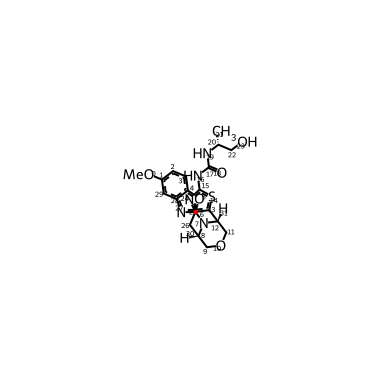 COc1ccc2oc(N3[C@@H]4COC[C@H]3c3sc(NC(=O)N[C@H](C)CO)nc3C4)nc2c1